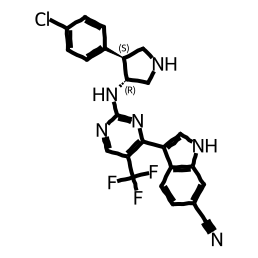 N#Cc1ccc2c(-c3nc(N[C@H]4CNC[C@@H]4c4ccc(Cl)cc4)ncc3C(F)(F)F)c[nH]c2c1